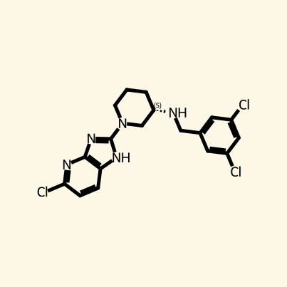 Clc1cc(Cl)cc(CN[C@H]2CCCN(c3nc4nc(Cl)ccc4[nH]3)C2)c1